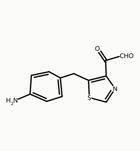 Nc1ccc(Cc2scnc2C(=O)C=O)cc1